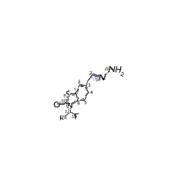 N/N=[C]/c1ccc2c(c1)sc(=O)n2C(F)F